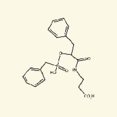 O=C(O)CCNC(=O)C(Cc1ccccc1)OP(=O)(O)Cc1ccccc1